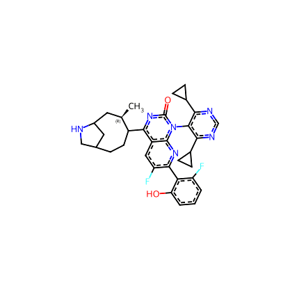 C[C@@H]1CC2CC(CCC1c1nc(=O)n(-c3c(C4CC4)ncnc3C3CC3)c3nc(-c4c(O)cccc4F)c(F)cc13)CN2